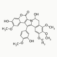 COc1ccc(-c2c3n(c4c(=O)oc5cc(O)c(OC)cc5c24)C(O)Cc2c-3cc(OC)c(OC)c2OC)cc1O